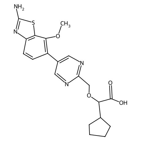 COc1c(-c2cnc(COC(C(=O)O)C3CCCC3)nc2)ccc2nc(N)sc12